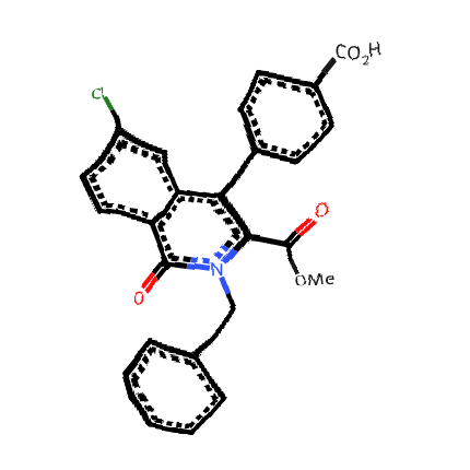 COC(=O)c1c(-c2ccc(C(=O)O)cc2)c2cc(Cl)ccc2c(=O)n1Cc1ccccc1